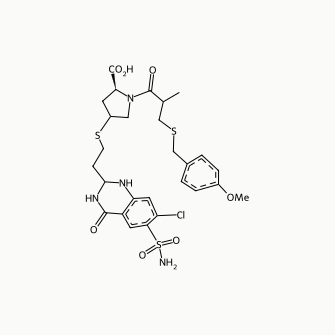 COc1ccc(CSCC(C)C(=O)N2CC(SCCC3NC(=O)c4cc(S(N)(=O)=O)c(Cl)cc4N3)C[C@H]2C(=O)O)cc1